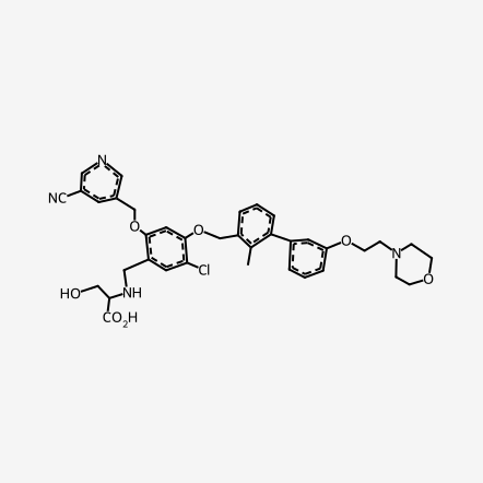 Cc1c(COc2cc(OCc3cncc(C#N)c3)c(CNC(CO)C(=O)O)cc2Cl)cccc1-c1cccc(OCCN2CCOCC2)c1